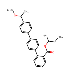 CCCCCCCCCCCC(CCC)OC(=O)c1ccccc1-c1ccc(-c2ccc(C(C)OCCCCCC)cc2)cc1